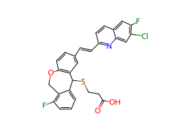 O=C(O)CCSC1c2cc(C=Cc3ccc4cc(F)c(Cl)cc4n3)ccc2OCc2c(F)cccc21